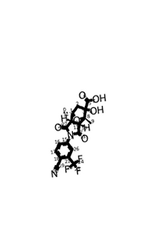 C[C@]12CC(O)(C(=O)O)[C@@](C)(O1)[C@@H]1C(=O)N(c3ccc(C#N)c(C(F)(F)F)c3)C(=O)[C@@H]12